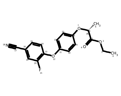 CCOC(=O)[C@@H](C)Oc1ccc(Oc2ccc(C#N)cc2F)cc1